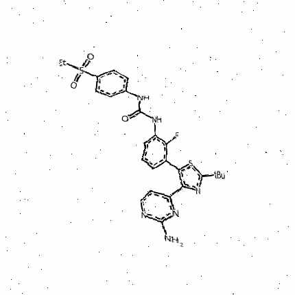 CCS(=O)(=O)c1ccc(NC(=O)Nc2cccc(-c3sc(C(C)(C)C)nc3-c3ccnc(N)n3)c2F)cc1